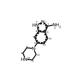 Nc1n[nH]c2cc(N3CCNCC3)ccc12